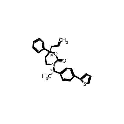 C=CC[C@]1(c2ccccc2)CCN([C@@H](C)c2ccc(-c3cccs3)cc2)C(=O)O1